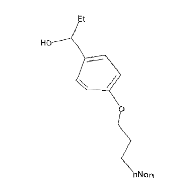 CCCCCCCCCCCCOc1ccc(C(O)CC)cc1